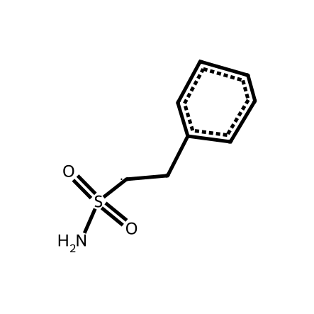 NS(=O)(=O)[CH]Cc1ccccc1